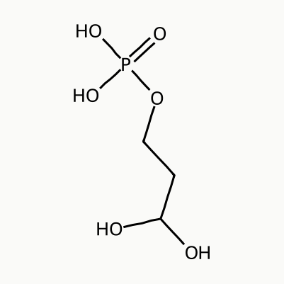 O=P(O)(O)OCCC(O)O